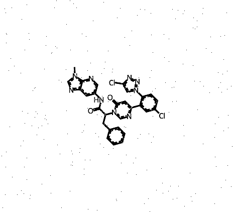 Cn1cnc2cc(NC(=O)C(Cc3ccccc3)n3cnc(-c4cc(Cl)ccc4-n4cc(Cl)nn4)cc3=O)cnc21